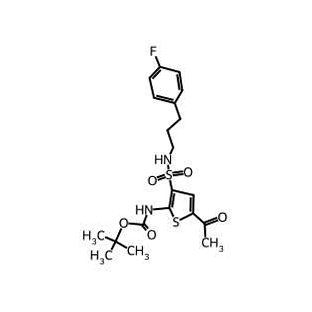 CC(=O)c1cc(S(=O)(=O)NCCCc2ccc(F)cc2)c(NC(=O)OC(C)(C)C)s1